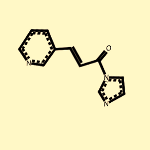 O=C(C=Cc1cccnc1)n1ccnc1